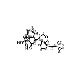 O=c1nc(N2CCOCc3c(C#CC4(C(F)(F)F)CC4)cccc32)c2c(F)c(F)ccc2n1C(O)(O)O